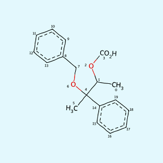 CC(OC(=O)O)C(C)(OCc1ccccc1)c1ccccc1